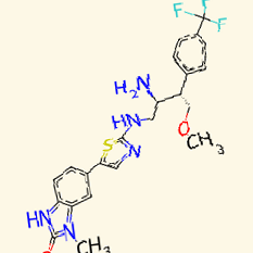 COC[C@@H](c1ccc(C(F)(F)F)cc1)[C@H](N)CNc1ncc(-c2ccc3[nH]c(=O)n(C)c3c2)s1